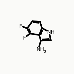 Nc1c[nH]c2ccc(F)c(F)c12